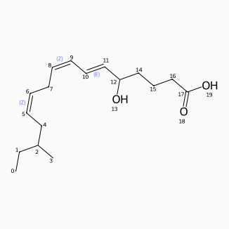 CCC(C)C/C=C\C/C=C\C=C\C(O)CCCC(=O)O